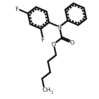 [CH2]CCCCOC(=O)N(c1ccccc1)c1ccc(F)cc1F